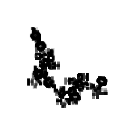 CCC(NCOC[C@H]1O[C@@H](n2cc(-c3ccn(CCn4ccc(-c5cn([C@@H]6O[C@H](C(=O)Nc7ccc(N8CCN(C)CC8)cn7)[C@@H](O)[C@H]6O)c6ncnc(N)c56)n4)n3)c3c(N)ncnc32)[C@H](O)[C@@H]1O)c1ccccc1